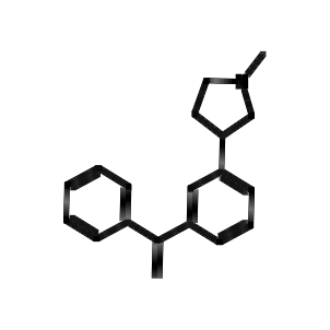 C=C(c1ccccc1)c1cccc(C2CCN(C)C2)c1